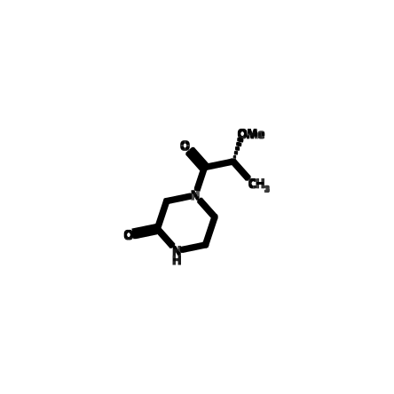 CO[C@H](C)C(=O)N1CCNC(=O)C1